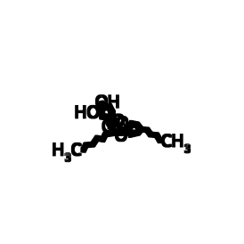 CCCCCCCCN(S(=O)(=O)c1ccc(CCCCC)cc1)S(=O)(=O)c1ccc(O)c(O)c1